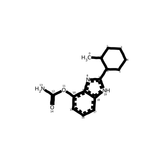 CC1CCCCC1c1nc2c(OC(N)=O)cccc2[nH]1